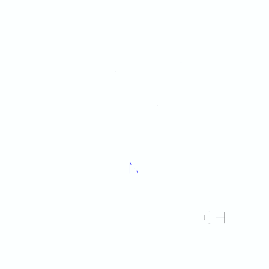 C#CN1C=CCCC1.c1cc2ccc1-2